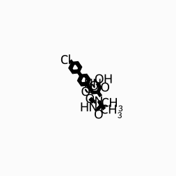 CC1(C)C(=O)NC(=O)N1CC(CS(=O)(=O)c1ccc(-c2ccc(Cl)cc2)cc1)C(=O)NO